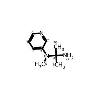 CN(c1cccnc1)C(C)(C)N